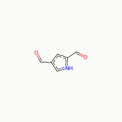 O=Cc1c[nH]c(C=O)c1